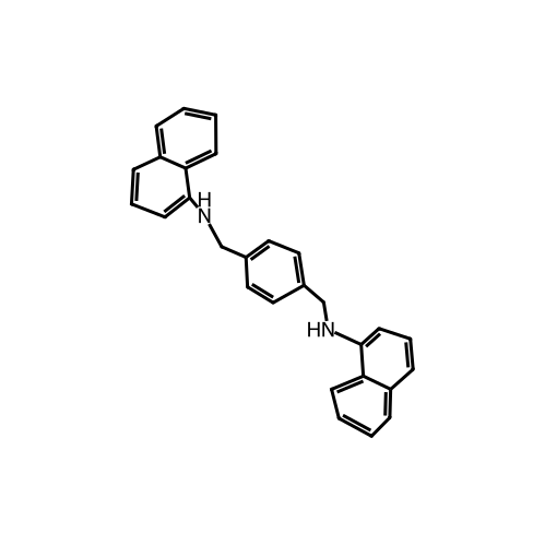 c1ccc2c(NCc3ccc(CNc4cccc5ccccc45)cc3)cccc2c1